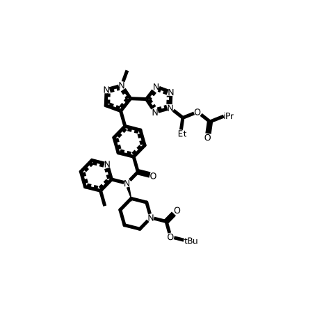 CCC(OC(=O)C(C)C)n1nnc(-c2c(-c3ccc(C(=O)N(c4ncccc4C)[C@@H]4CCCN(C(=O)OC(C)(C)C)C4)cc3)cnn2C)n1